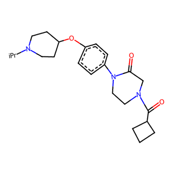 CC(C)N1CCC(Oc2ccc(N3CCN(C(=O)C4CCC4)CC3=O)cc2)CC1